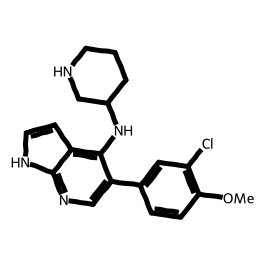 COc1ccc(-c2cnc3[nH]ccc3c2NC2CCCNC2)cc1Cl